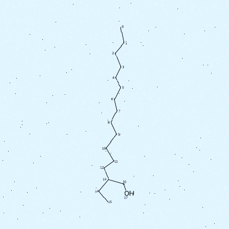 CCCCCCCCCCCCCC(CC)CO